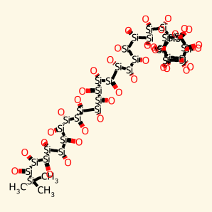 C[Si](C)(C)[Si](=O)[Si](=O)[Si](=O)[Si](=O)[Si](=O)[Si](=O)[Si](=O)[Si](=O)[Si](=O)[Si](=O)[Si](=O)[Si](=O)[Si](=O)[Si](=O)[Si](=O)[Si](=O)[Si](=O)[Si](=O)[Si](=O)[Si](=O)[Si](=O)[Si](=O)[Si](=O)[Si](=O)[Si](=O)[Si](=O)[Si](=O)[Si](=O)[Si](=O)[Si](=O)[Si](=O)[Si](=O)[Si](=O)[Si](=O)[SiH]=O